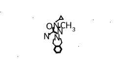 Cc1nc(N2CCc3ccccc3CC2)c(C#N)c(=O)n1CC1CC1